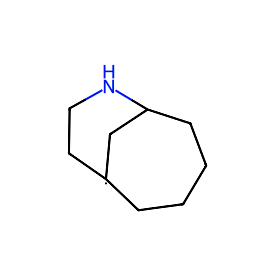 C1CCC2C[C](C1)CCN2